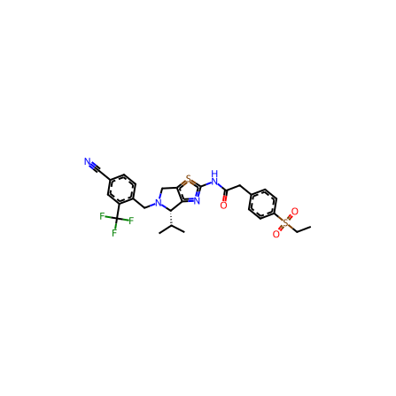 CCS(=O)(=O)c1ccc(CC(=O)Nc2nc3c(s2)CN(Cc2ccc(C#N)cc2C(F)(F)F)[C@H]3C(C)C)cc1